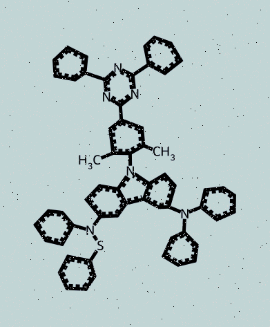 Cc1cc(-c2nc(-c3ccccc3)nc(-c3ccccc3)n2)cc(C)c1-n1c2ccc(N(Sc3ccccc3)c3ccccc3)cc2c2cc(N(c3ccccc3)c3ccccc3)ccc21